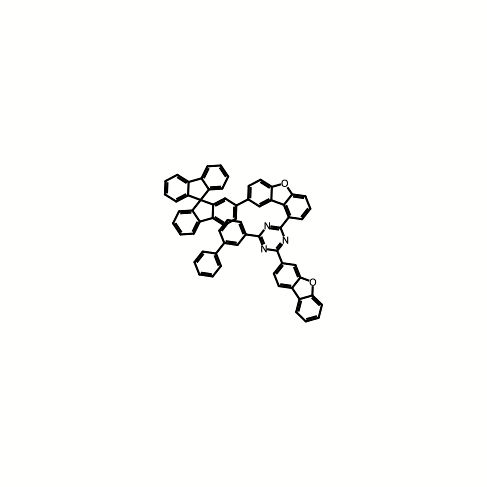 c1ccc(-c2cccc(-c3nc(-c4ccc5c(c4)oc4ccccc45)nc(-c4cccc5oc6ccc(-c7ccc8c(c7)C7(c9ccccc9-c9ccccc97)c7ccccc7-8)cc6c45)n3)c2)cc1